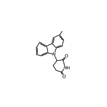 Cc1ccc2c(c1)c1ccccc1n2C1CCC(=O)NC1=O